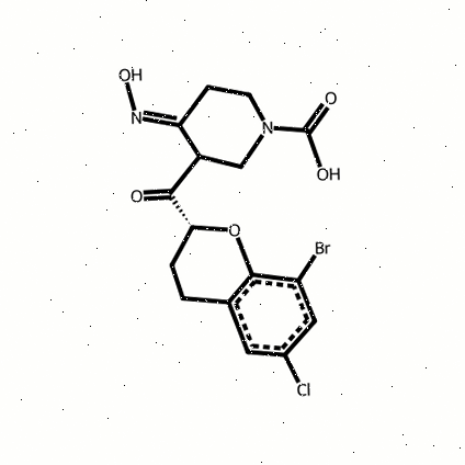 O=C(C1CN(C(=O)O)CC/C1=N\O)[C@H]1CCc2cc(Cl)cc(Br)c2O1